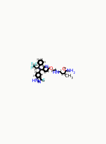 CC(CCNCCOc1ccc(/C(=C(/CC(F)(F)F)c2ccccc2)c2ccc3[nH]nc(F)c3c2)cn1)C(N)=O